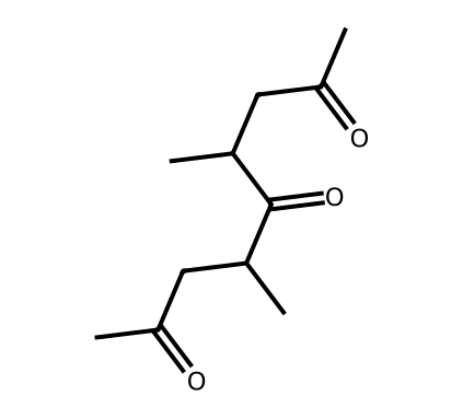 CC(=O)CC(C)C(=O)C(C)CC(C)=O